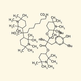 CCCCC(Cc1cc(C(C)(C)C)c(O)c(C(C)(C)C)c1)(C(=O)OC1CCC(C)(C)N(C)C1(C)C)C(=O)OC1CCC(C)(C)N(C)C1(C)C.CN1C(C)(C)CCC(C(CCCCCCCC(=O)O)(C(=O)O)C2CCC(C)(C)N(C)C2(C)C)C1(C)C